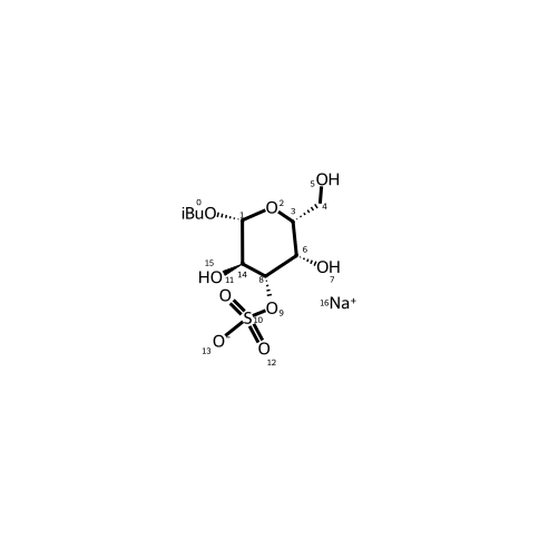 CC(C)CO[C@@H]1O[C@H](CO)[C@H](O)[C@H](OS(=O)(=O)[O-])[C@H]1O.[Na+]